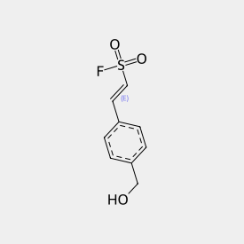 O=S(=O)(F)/C=C/c1ccc(CO)cc1